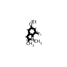 CCOc1cc(F)c2c(c1)cc(C)n2C